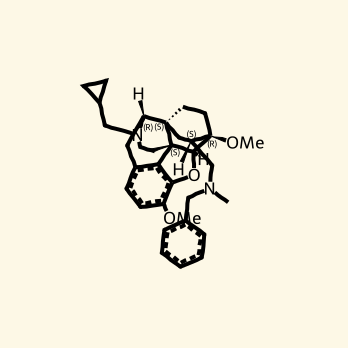 COc1ccc2c3c1O[C@H]1[C@@]4(OC)CC[C@@]5(C[C@H]4CN(C)Cc4ccccc4)[C@@H](C2)N(CC2CC2)CC[C@]315